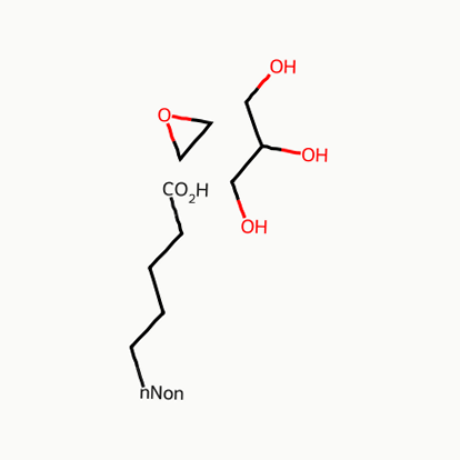 C1CO1.CCCCCCCCCCCCCC(=O)O.OCC(O)CO